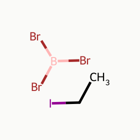 BrB(Br)Br.CCI